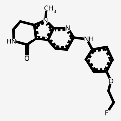 Cn1c2c(c3ccc(Nc4ccc(OCCF)cc4)nc31)C(=O)NCC2